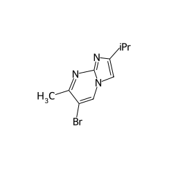 Cc1nc2nc(C(C)C)cn2cc1Br